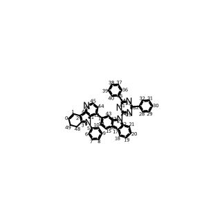 C1=Cc2c(n(-c3ccccc3)c3c(-c4ccc5c6ccccc6n(-c6nc(-c7ccccc7)nc(-c7ccccc7)n6)c5c4)ccnc23)CC1